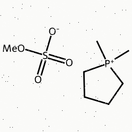 COS(=O)(=O)[O-].C[P+]1(C)CCCC1